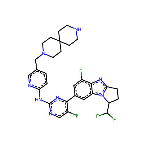 Fc1cnc(Nc2ccc(CN3CCC4(CCNCC4)CC3)cn2)nc1-c1cc(F)c2nc3n(c2c1)C(C(F)F)CC3